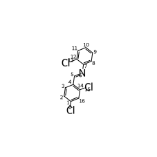 Clc1ccc(C=Nc2ccccc2Cl)c(Cl)c1